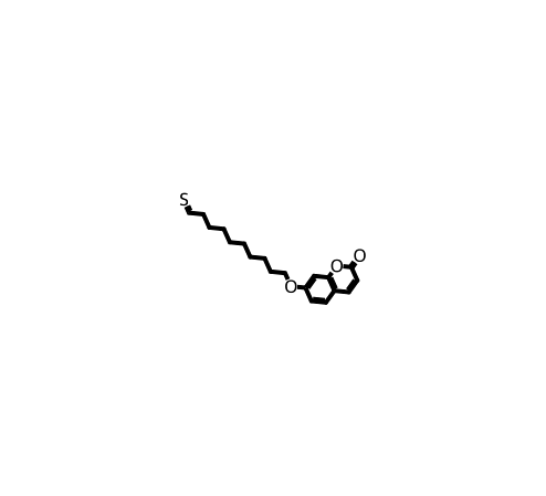 O=c1ccc2ccc(OCCCCCCCCCC=S)cc2o1